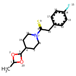 CC1OC(C2CCN(C(=S)Cc3ccc(F)cc3)CC2)O1